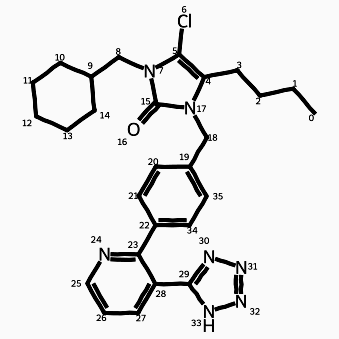 CCCCc1c(Cl)n(CC2CCCCC2)c(=O)n1Cc1ccc(-c2ncccc2-c2nnn[nH]2)cc1